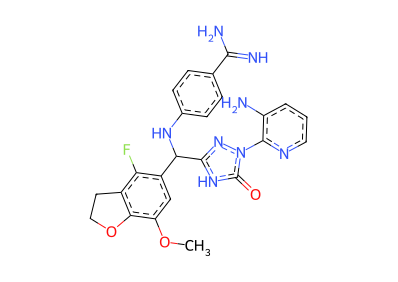 COc1cc(C(Nc2ccc(C(=N)N)cc2)c2nn(-c3ncccc3N)c(=O)[nH]2)c(F)c2c1OCC2